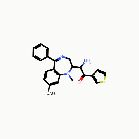 COc1ccc2c(c1)N(C)C(C(N)C(=O)c1ccsc1)CN=C2c1ccccc1